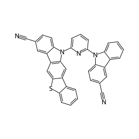 N#Cc1ccc2c(c1)c1ccccc1n2-c1cccc(-n2c3ccc(C#N)cc3c3cc4sc5ccccc5c4cc32)n1